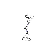 Cc1cc(/C=C/C2=C=C=C(N(c3ccccc3)c3ccccc3)C=C2)ccc1/C=C/c1ccc(N(C2=CCCC=C2)C2=CC=CCC2)cc1